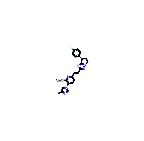 COc1nc(/C=C/c2nc3n(n2)CC[C@@H]3c2ccc(F)cc2)ccc1-n1cnc(C)c1